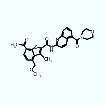 COCc1ccc(C(C)=O)c2sc(C(=O)Nc3ccc4c(C(=O)N5CCOCC5)cccc4n3)c(C)c12